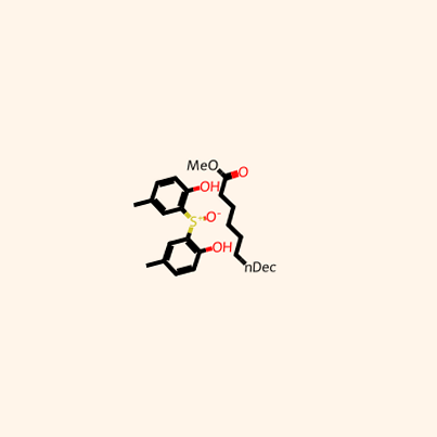 CCCCCCCCCCCCCCCC(=O)OC.Cc1ccc(O)c([S+]([O-])c2cc(C)ccc2O)c1